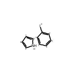 Ic1ccccc1.c1cc[nH]c1